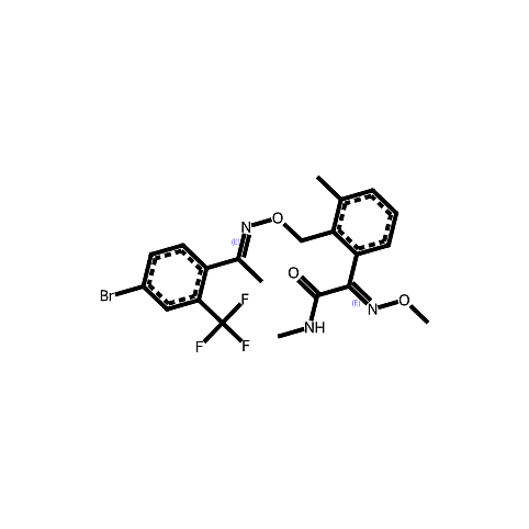 CNC(=O)/C(=N/OC)c1cccc(C)c1CO/N=C(\C)c1ccc(Br)cc1C(F)(F)F